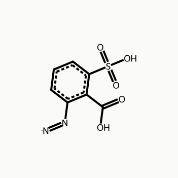 [N]=Nc1cccc(S(=O)(=O)O)c1C(=O)O